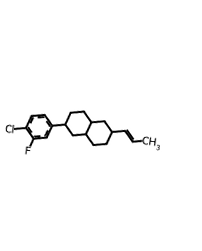 CC=CC1CCC2CC(c3ccc(Cl)c(F)c3)CCC2C1